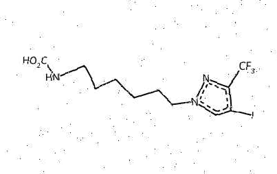 O=C(O)NCCCCCCn1cc(I)c(C(F)(F)F)n1